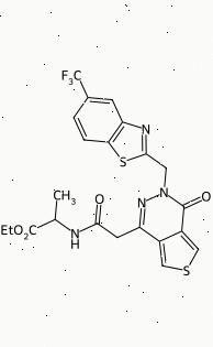 CCOC(=O)C(C)NC(=O)Cc1nn(Cc2nc3cc(C(F)(F)F)ccc3s2)c(=O)c2cscc12